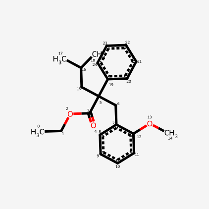 CCOC(=O)C(Cc1ccccc1OC)(CC(C)C)c1ccccc1